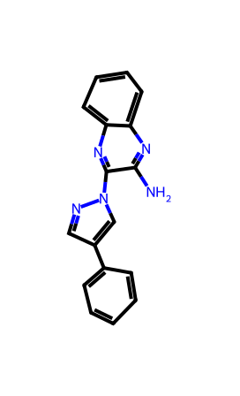 Nc1nc2ccccc2nc1-n1cc(-c2ccccc2)cn1